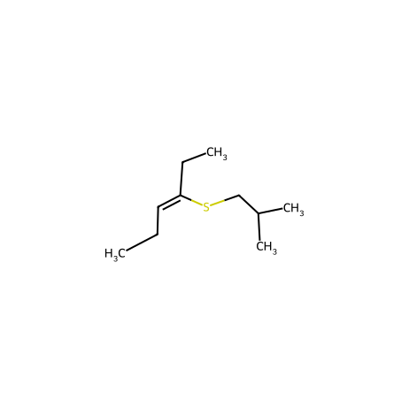 CC/C=C(/CC)SCC(C)C